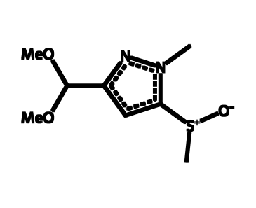 COC(OC)c1cc([S+](C)[O-])n(C)n1